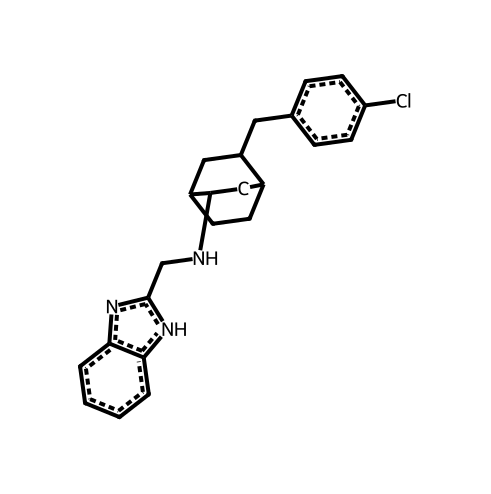 Clc1ccc(CC2CC3CCC2CC3NCc2nc3ccccc3[nH]2)cc1